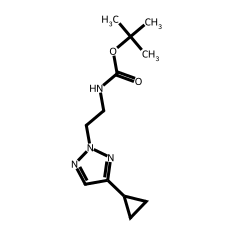 CC(C)(C)OC(=O)NCCn1ncc(C2CC2)n1